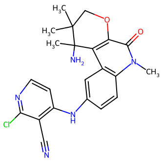 Cn1c(=O)c2c(c3cc(Nc4ccnc(Cl)c4C#N)ccc31)C(C)(N)C(C)(C)CO2